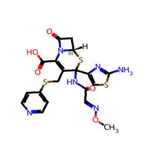 CON=CC(=O)NC1(c2csc(N)n2)S[C@H]2CC(=O)N2C(C(=O)O)=C1CSc1ccncc1